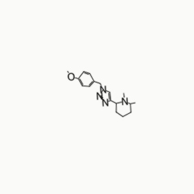 COc1ccc(Cn2cc(C3CCCC(C)N3C)nn2)cc1